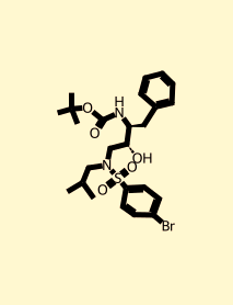 CC(C)CN(C[C@@H](O)[C@H](Cc1ccccc1)NC(=O)OC(C)(C)C)S(=O)(=O)c1ccc(Br)cc1